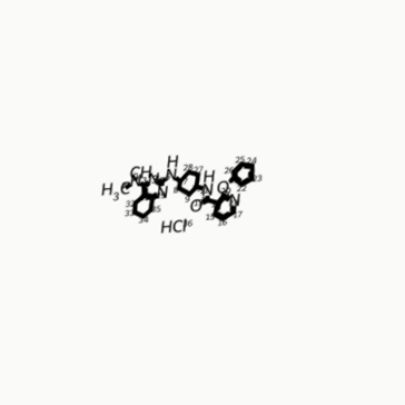 CN(C)c1nc(NC2CCC(NC(=O)c3cccnc3Oc3ccccc3)CC2)nc2c1CCCC2.Cl